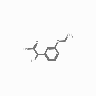 CCOc1cccc(C(S)C([NH])=O)c1